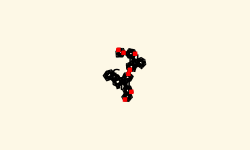 CC1Cc2c(sc3ccccc23)-c2c1n(-c1ccc3ccccc3c1)c1ccc(-c3ccc4c(c3)c3ccccc3n4-c3cccc(-c4ccccc4)c3)cc21